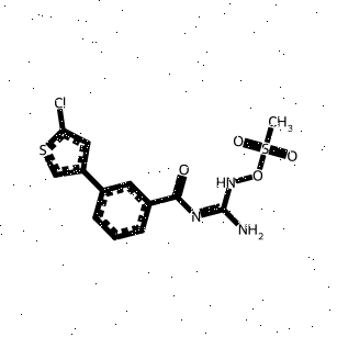 CS(=O)(=O)ONC(N)=NC(=O)c1cccc(-c2csc(Cl)c2)c1